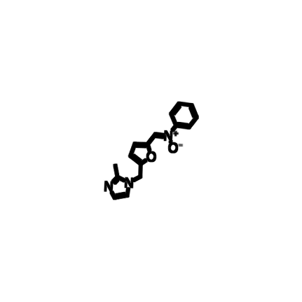 Cc1nccn1Cc1ccc(C=[N+]([O-])c2ccccc2)o1